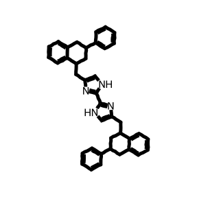 c1ccc(C2Cc3ccccc3C(Cc3c[nH]c(-c4nc(CC5CC(c6ccccc6)Cc6ccccc65)c[nH]4)n3)C2)cc1